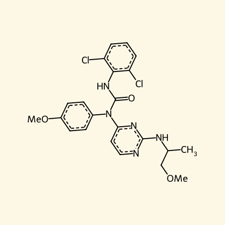 COCC(C)Nc1nccc(N(C(=O)Nc2c(Cl)cccc2Cl)c2ccc(OC)cc2)n1